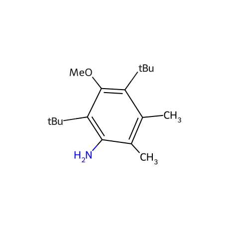 COc1c(C(C)(C)C)c(C)c(C)c(N)c1C(C)(C)C